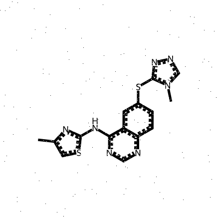 Cc1csc(Nc2ncnc3ccc(Sc4nncn4C)cc23)n1